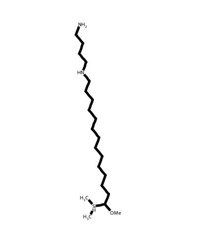 COC(CCCCCCCCCCCCCNCCCCN)[SiH](C)C